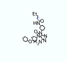 CC/C=C/C(=O)Nc1cccc(-n2c(=O)n(-c3ccc(Oc4ccccc4)cc3)c3c(N)ncnc32)c1